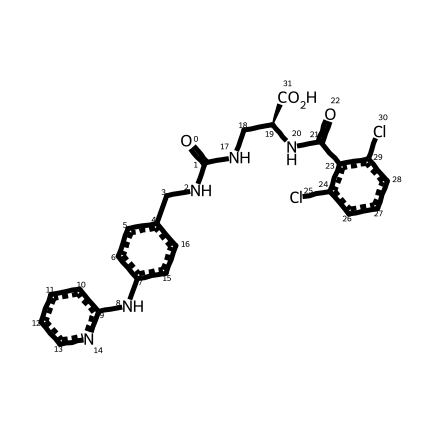 O=C(NCc1ccc(Nc2ccccn2)cc1)NC[C@H](NC(=O)c1c(Cl)cccc1Cl)C(=O)O